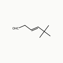 CC(C)(C)C=CCC=O